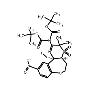 CC(C)(C)OC(=O)N(C(=O)OC(C)(C)C)C1=N[C@]2(CF)c3cc([N+](=O)[O-])ccc3OCC[C@@H]2S(=O)(=O)C1(C)C